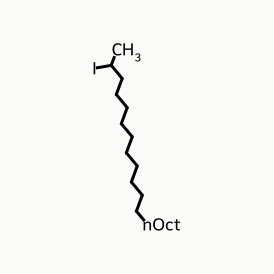 CCCCCCCCCCCCCCCCCCC(C)I